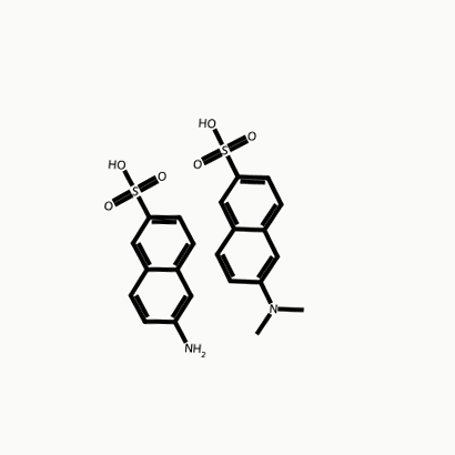 CN(C)c1ccc2cc(S(=O)(=O)O)ccc2c1.Nc1ccc2cc(S(=O)(=O)O)ccc2c1